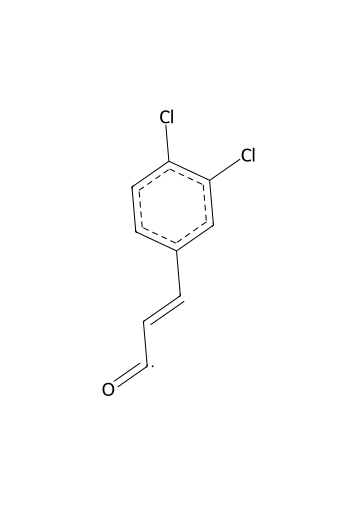 O=[C]C=Cc1ccc(Cl)c(Cl)c1